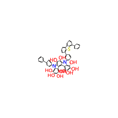 Oc1c(O)c(O)c2c(c1O)c1c3c4c(O)c(O)c(O)c(O)c4n(-c4cccc(-c5cccc6c5sc5c(-c7ccccc7)cccc56)c4)c3c(O)c(O)c1n2-c1ccc(-c2ccccc2)cc1